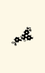 CS(=O)(=O)c1ccc(-c2cnn(Cc3cccc([N+](=O)[O-])c3)c(=O)c2-c2ccc(F)cc2)cc1